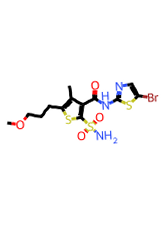 COCCCc1sc(S(N)(=O)=O)c(C(=O)Nc2ncc(Br)s2)c1C